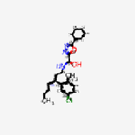 CCC/C=C(/CCNC(O)c1nnc(C2CCCCC2)o1)c1cc(Cl)ccc1C